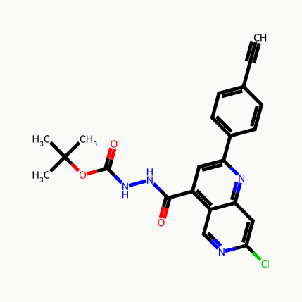 C#Cc1ccc(-c2cc(C(=O)NNC(=O)OC(C)(C)C)c3cnc(Cl)cc3n2)cc1